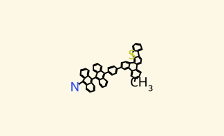 Cc1ccc2c(c1)c1cc(-c3ccc(-c4c5ccccc5c(-c5c6ccccc6c(C#N)c6ccccc56)c5ccccc45)cc3)ccc1c1c2ccc2c3ccccc3sc21